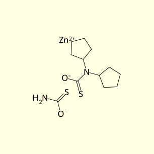 NC([O-])=S.[O-]C(=S)N(C1CCCC1)C1CCCC1.[Zn+2]